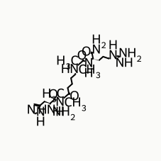 CC(C)(NC(=O)[C@H](Cc1cnc[nH]1)NN)C(=O)CCCCNC(C)(C)C(=O)N[C@@H](CCCNC(=N)N)C(N)=O